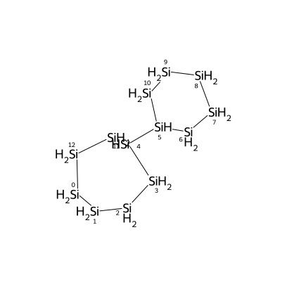 [SiH2]1[SiH2][SiH2][SiH2][SiH]([SiH]2[SiH2][SiH2][SiH2][SiH2][SiH2]2)[SiH2][SiH2]1